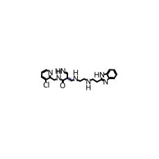 N=C/C(=C\NCCNCCc1nc2ccccc2[nH]1)C(=O)NCc1ncccc1Cl